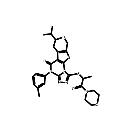 Cc1cccc(-n2c(=O)c3c4c(sc3n3c(SC(C)C(=O)N5CCOCC5)nnc23)COC(C(C)C)C4)c1